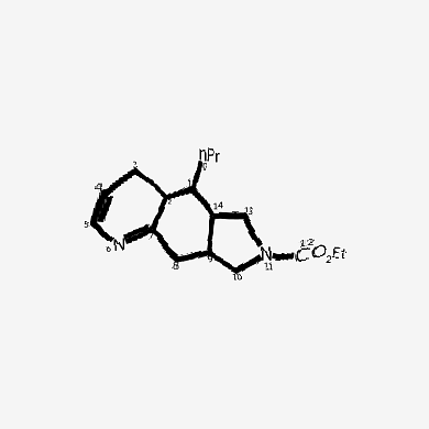 CCCC1C2CC=CN=C2CC2CN(C(=O)OCC)CC21